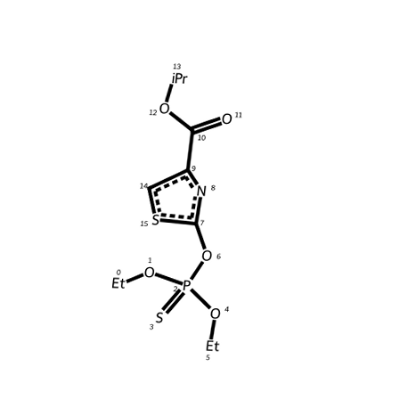 CCOP(=S)(OCC)Oc1nc(C(=O)OC(C)C)cs1